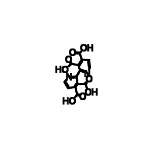 O=C(O)c1ccnc(-c2nccc(C(=O)O)c2C(=O)O)c1C(=O)O